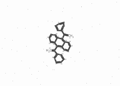 C=C(c1ccccc1)c1c2ccccc2c(C(=C)c2ccccc2)c2ccccc12